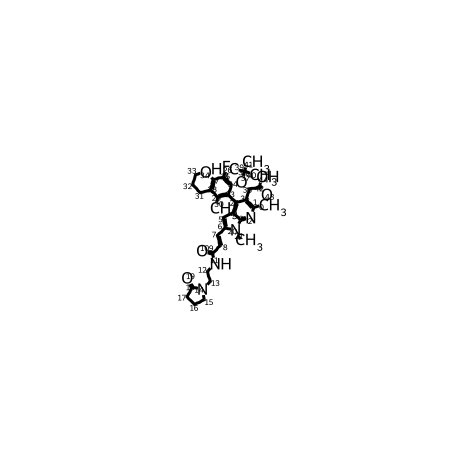 Cc1nc2c(cc(/C=C/C(=O)NCCN3CCCC3=O)n2C)c(-c2cc(F)c3c(c2C)CCCO3)c1[C@H](OC(C)(C)C)C(=O)O